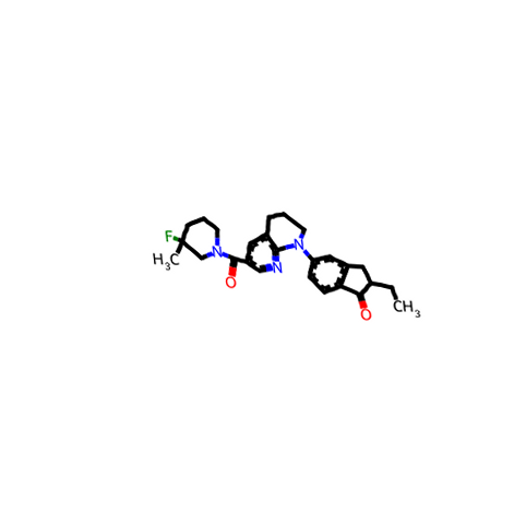 CCC1Cc2cc(N3CCCc4cc(C(=O)N5CCCC(C)(F)C5)cnc43)ccc2C1=O